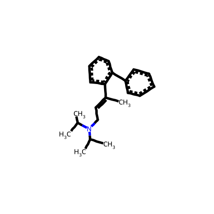 CC(=CCN(C(C)C)C(C)C)c1ccccc1-c1ccccc1